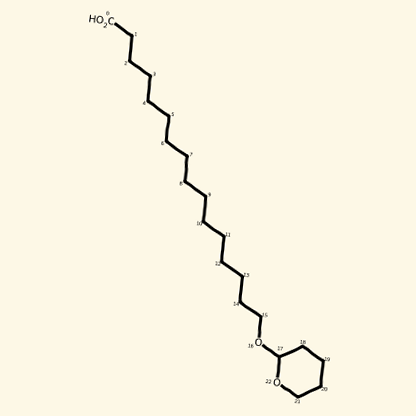 O=C(O)CCCCCCCCCCCCCCCOC1CCCCO1